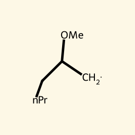 [CH2]C(CCCC)OC